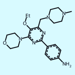 CCOc1c(CN2CCN(C)CC2)nc(-c2ccc(N)cc2)nc1N1CCOCC1